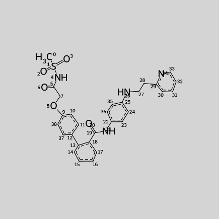 CS(=O)(=O)NC(=O)COc1ccc(-c2ccccc2C(=O)Nc2ccc(NCCc3ccccn3)cc2)cc1